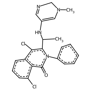 CC(NC1=CN(C)CN=C1)c1c(Cl)c2cccc(Cl)c2c(=O)n1-c1ccccc1